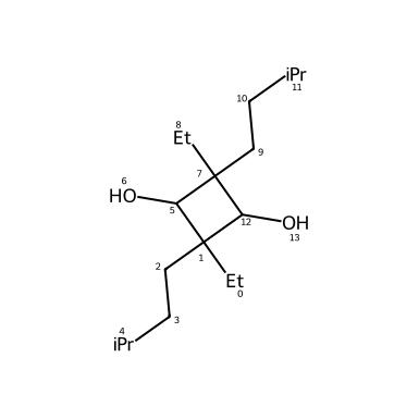 CCC1(CCC(C)C)C(O)C(CC)(CCC(C)C)C1O